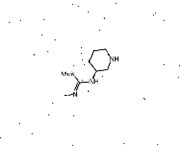 C/N=C(\NC)N[C@H]1CCCNC1